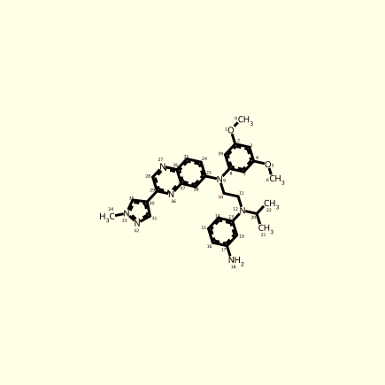 COc1cc(OC)cc(N(CCN(c2cccc(N)c2)C(C)C)c2ccc3ncc(-c4cnn(C)c4)nc3c2)c1